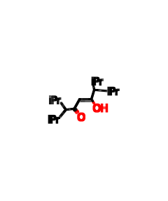 CC(C)C(C(=O)/C=C(\O)C(C(C)C)C(C)C)C(C)C